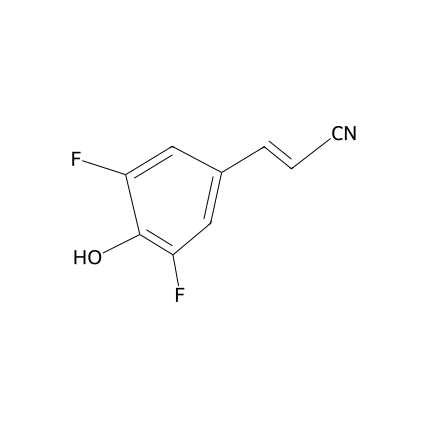 N#C/C=C/c1cc(F)c(O)c(F)c1